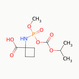 COP(=O)(NC1(C(=O)O)CCC1)OC(=O)OC(C)C